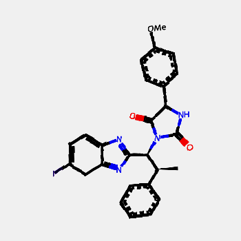 COc1ccc(C2NC(=O)N([C@H](C3=NC4=CC=C(I)CC4=N3)[C@@H](C)c3ccccc3)C2=O)cc1